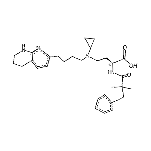 CC(C)(Cc1ccccc1)C(=O)N[C@@H](CCN(CCCCc1ccc2c(n1)NCCC2)C1CC1)C(=O)O